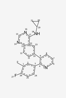 Cc1cc(-c2ncccc2-c2ccc3ncnc(NC4CC4)c3c2)ccc1F